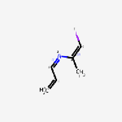 C=C/C=N\C(C)=C/I